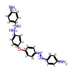 Nc1ccc(/N=N/c2ccc(Oc3ccc(NNc4ccc(N)cc4)cc3)cc2)cc1